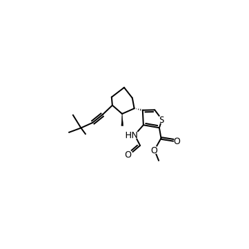 COC(=O)c1scc([C@H]2CCCC(C#CC(C)(C)C)[C@@H]2C)c1NC=O